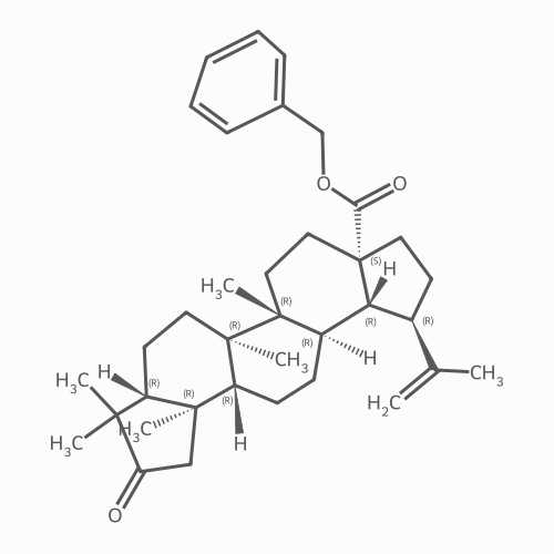 C=C(C)[C@@H]1CC[C@]2(C(=O)OCc3ccccc3)CC[C@]3(C)[C@H](CC[C@@H]4[C@@]5(C)CC(=O)C(C)(C)[C@@H]5CC[C@]43C)[C@@H]12